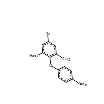 COc1ccc(Oc2c(C=O)cc(Br)cc2OC)cc1